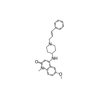 COc1ccc2c(c1)c(NC1CCN(C/C=C/c3ccccc3)CC1)cc(=O)n2C